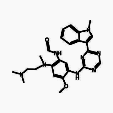 COc1cc(N(C)CCN(C)C)c(NC=O)cc1Nc1ncnc(-c2cn(C)c3ccccc23)n1